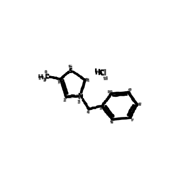 CC1=CN(Cc2ccccc2)CS1.Cl